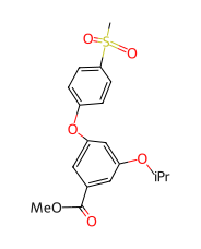 COC(=O)c1cc(Oc2ccc(S(C)(=O)=O)cc2)cc(OC(C)C)c1